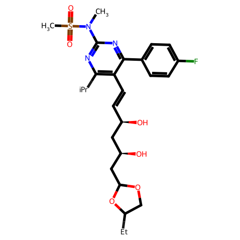 CCC1COC(C[C@H](O)C[C@H](O)/C=C/c2c(-c3ccc(F)cc3)nc(N(C)S(C)(=O)=O)nc2C(C)C)O1